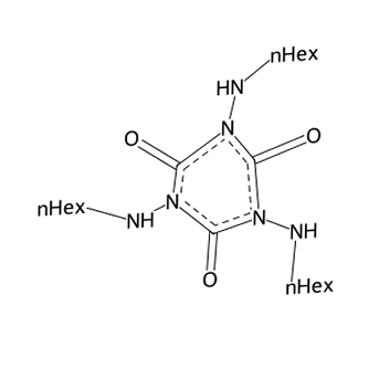 CCCCCCNn1c(=O)n(NCCCCCC)c(=O)n(NCCCCCC)c1=O